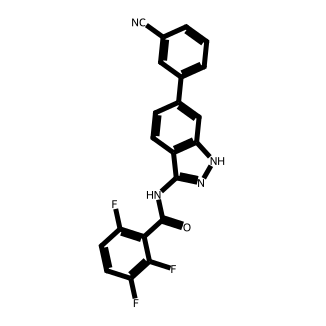 N#Cc1cccc(-c2ccc3c(NC(=O)c4c(F)ccc(F)c4F)n[nH]c3c2)c1